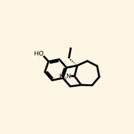 CC[C@@]12CCCCC(Cc3ccc(O)cc31)C2N